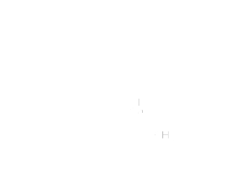 [CH3][GeH2][C]1=C(C2=[C]CC=C2)CC=C1